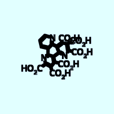 O=C(O)c1nc2c(c(C(=O)O)c1C(=O)O)c1ncccc1c1nc(C(=O)O)c(C(=O)O)c(C(=O)O)c12